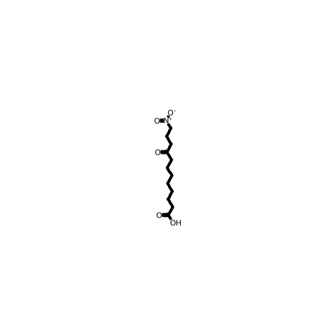 O=C(O)CCCCCCCC(=O)CCC[N+](=O)[O-]